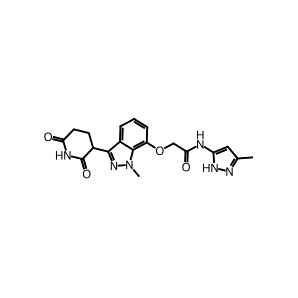 Cc1cc(NC(=O)COc2cccc3c(C4CCC(=O)NC4=O)nn(C)c23)[nH]n1